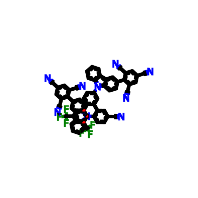 N#Cc1cc(C#N)c(-c2ccc3c(c2)c2ccccc2n3-c2ccc(-c3cc(C(F)(F)F)cc(C(F)(F)F)c3)c(-c3cc(C#N)ccc3-n3c4ccccc4c4cc(-c5c(C#N)cc(C#N)cc5C#N)ccc43)c2)c(C#N)c1